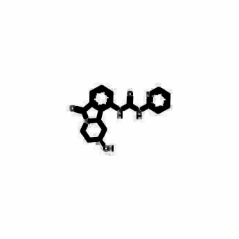 O=C(Nc1ccccn1)Nc1cccc2c1C1C[C@@H](O)CCN1C2=O